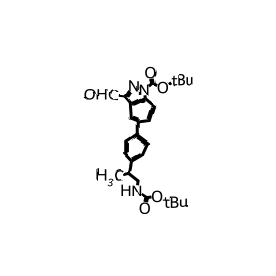 CC(CNC(=O)OC(C)(C)C)c1ccc(-c2ccc3c(c2)c(C=O)nn3C(=O)OC(C)(C)C)cc1